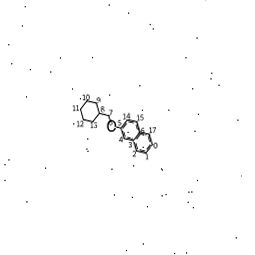 c1ccc2cc(OCC3CCCCC3)ccc2c1